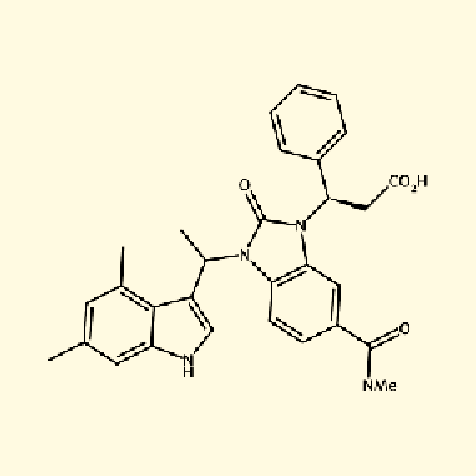 CNC(=O)c1ccc2c(c1)n([C@H](CC(=O)O)c1ccccc1)c(=O)n2C(C)c1c[nH]c2cc(C)cc(C)c12